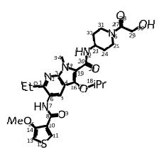 CCc1nc2c(cc1NC(=O)c1cscc1OC)c(OC(C)C)c(C(=O)NC1CCN(C(=O)CO)CC1)n2C